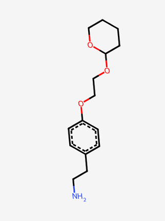 NCCc1ccc(OCCOC2CCCCO2)cc1